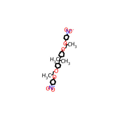 CC(COc1ccc(C(C)(C)c2ccc(OCC(C)Oc3ccc([N+](=O)[O-])cc3)cc2)cc1)Oc1ccc([N+](=O)[O-])cc1